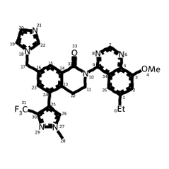 CCc1cc(OC)c2ncnc(N3CCc4c(cc(Cn5ccnc5)cc4-c4cn(C)nc4C(F)(F)F)C3=O)c2c1